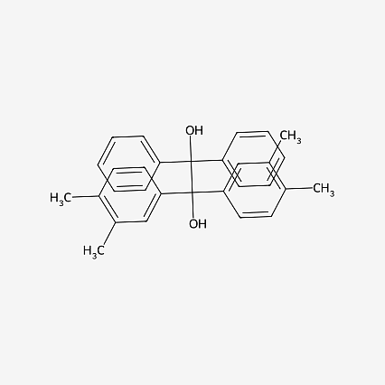 Cc1ccc(C(O)(c2ccc(C)c(C)c2)C(O)(c2ccccc2)c2ccccc2)cc1C